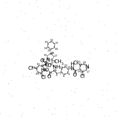 CC1(C(=O)N[C@@H](Cc2ccc(NC(=O)c3c(Cl)cncc3Cl)cc2)C(=O)O)C[C@@H](c2ccccc2)CN1S(=O)(=O)c1cc(Cl)cc(Cl)c1